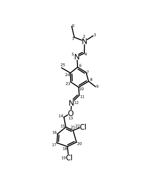 CCN(C)C=Nc1cc(C)c(C=NOCc2ccc(Cl)cc2Cl)cc1C